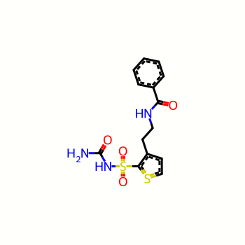 NC(=O)NS(=O)(=O)c1sccc1CCNC(=O)c1ccccc1